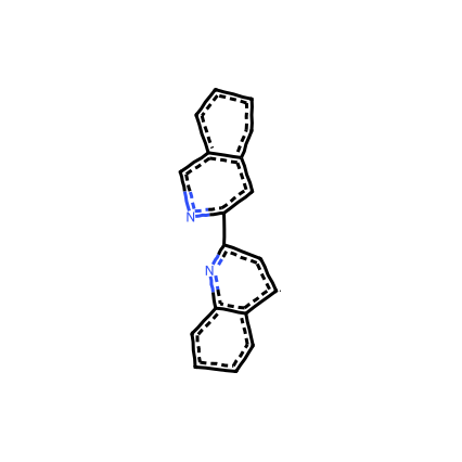 [c]1cc(-c2cc3ccccc3cn2)nc2ccccc12